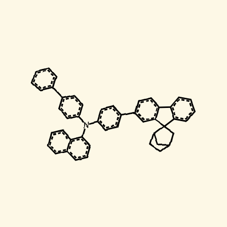 c1ccc(-c2ccc(N(c3ccc(-c4ccc5c(c4)C4(CC6CCC4C6)c4ccccc4-5)cc3)c3cccc4ccccc34)cc2)cc1